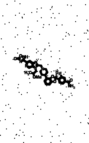 COC(C)Cn1c(CN2CCC(c3cccc4c3OC(C)(c3ccc(C(N)=O)cc3F)O4)CC2)nc2cc(-c3nc(=O)o[nH]3)ncc21